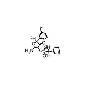 [2H]C([2H])(c1ccccc1)S(=O)(=O)OC1=C(N)O[C@]([2H])(c2cccc(F)c2)C1=O